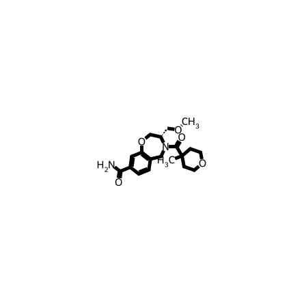 COC[C@H]1COc2cc(C(N)=O)ccc2CN1C(=O)C1(C)CCOCC1